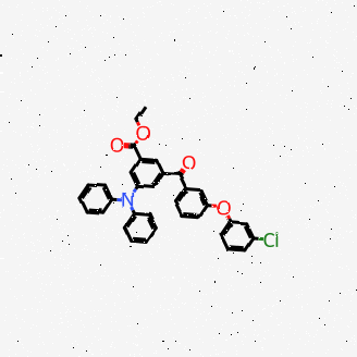 CCOC(=O)c1cc(C(=O)c2cccc(Oc3cccc(Cl)c3)c2)cc(N(c2ccccc2)c2ccccc2)c1